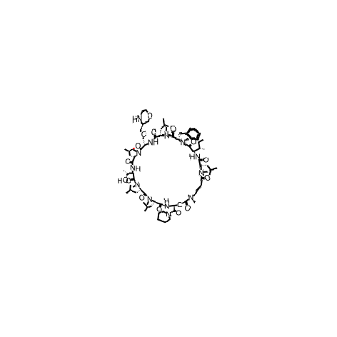 CC[C@H](C)[C@@H]1NC(=O)[C@H](CC(C)C)N(C)C(=O)CCCN(C)C(=O)C[C@@H](C(=O)N2CCCCC2)NC(=O)[C@H](CC(C)C)N(C)C(=O)[C@H](CC(C)C)N(C)C(=O)C([C@@H](C)O)NC(=O)[C@H](CC(C)C)N(C)C(=O)[C@H](COC[C@@H]2COCCN2)NC(=O)[C@H](CC(C)C)N(C)C(=O)[C@H](Cc2ccccc2)N(C)C1=O